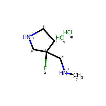 CNCC1(F)CCNC1.Cl.Cl